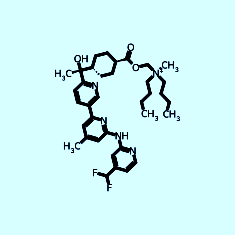 CCCC[N+](C)(CCCC)COC(=O)[C@H]1CC[C@H]([C@@](C)(O)c2ccc(-c3cc(C)cc(Nc4cc(C(F)F)ccn4)n3)cn2)CC1